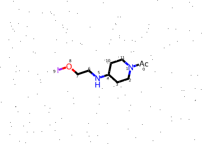 CC(=O)N1CCC(NCCOI)CC1